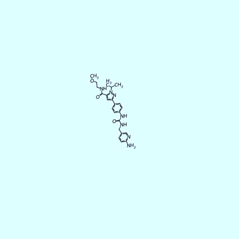 COCCNC(=O)c1cc(-c2ccc(NC(=O)NCc3ccc(N)nc3)cc2)nn1C(C)C